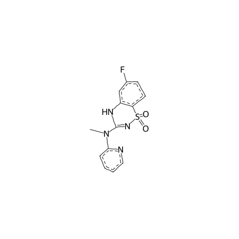 CN(C1=NS(=O)(=O)c2ccc(F)cc2N1)c1ccccn1